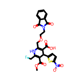 COC(=O)C1=C(CF)NC(COCCN2C(=O)c3ccccc3C2=O)=C(C(=O)O)C1c1ccc([N+](=O)[O-])s1